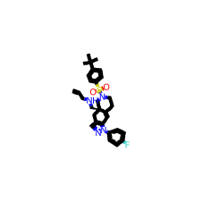 C=CCNC[C@]12Cc3cnn(-c4ccc(F)cc4)c3C=C1CCN(S(=O)(=O)c1ccc(C(C)(C)C)cc1)C2